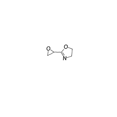 C1COC(C2CO2)=N1